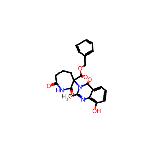 Cc1nc2c(O)cccc2c(=O)n1C1(C(=O)OCc2ccccc2)CCCC(=O)NC1=O